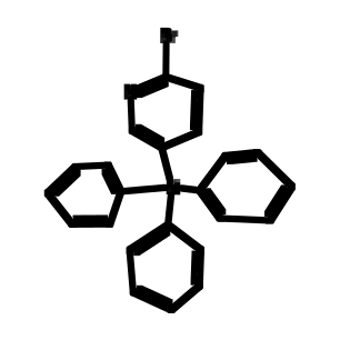 Brc1ccc([Si](c2ccccc2)(c2ccccc2)c2ccccc2)cn1